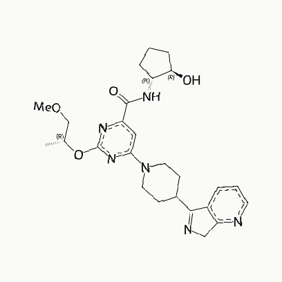 COC[C@@H](C)Oc1nc(C(=O)N[C@@H]2CCC[C@H]2O)cc(N2CCC(C3=NCc4ncccc43)CC2)n1